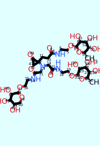 C[C@@H]1O[C@@H](OCCNC(=O)CCC2(N(CC(=O)NCCO[C@@H]3O[C@@H](C)[C@@H](O)[C@@H](O)[C@@H]3O)CC(=O)NCCO[C@@H]3OC[C@@H](O)[C@@H](O)[C@@H]3O)CC2=O)[C@@H](O)[C@H](O)[C@@H]1O